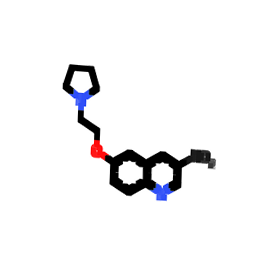 O=[N+]([O-])c1cnc2ccc(OCCN3CCCC3)cc2c1